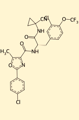 Cc1oc(-c2ccc(Cl)cc2)nc1C(=O)N[C@@H](Cc1ccc(OC(F)(F)F)c(Cl)c1)C(=O)NC1(C#N)CC1